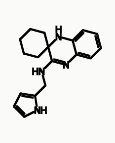 c1c[nH]c(CNC2=Nc3ccccc3NC23CCCCC3)c1